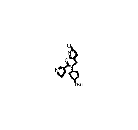 CC(C)(C)C1CCC(N(Cc2ccc(Cl)nc2)C(=O)c2cccnc2)CC1